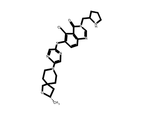 C[C@H]1CC2(CCN(c3cnc(Sc4ccc5ncn(CC6CCCN6)c(=O)c5c4Cl)cn3)CC2)CO1